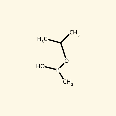 CC(C)OP(C)O